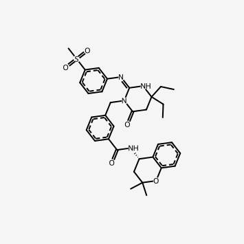 CCC1(CC)CC(=O)N(Cc2cccc(C(=O)N[C@H]3CC(C)(C)Oc4ccccc43)c2)/C(=N\c2cccc(S(C)(=O)=O)c2)N1